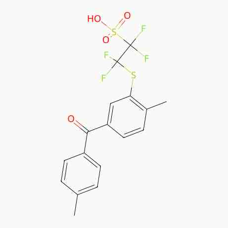 Cc1ccc(C(=O)c2ccc(C)c(SC(F)(F)C(F)(F)S(=O)(=O)O)c2)cc1